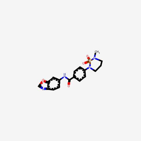 CN1CCCN(c2ccc(C(=O)Nc3ccc4ncoc4c3)cc2)S1(=O)=O